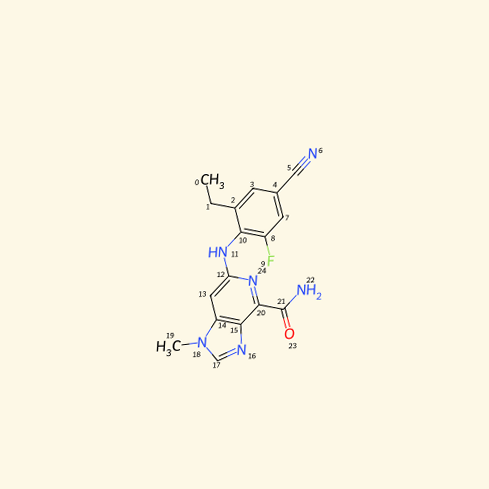 CCc1cc(C#N)cc(F)c1Nc1cc2c(ncn2C)c(C(N)=O)n1